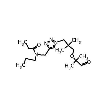 CCCN(Cc1cn(CC(C)(C)COC(C)(C)C=O)nn1)C(=O)CC